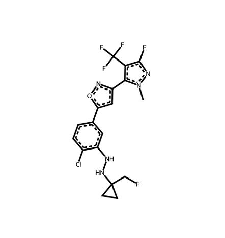 Cn1nc(F)c(C(F)(F)F)c1-c1cc(-c2ccc(Cl)c(NNC3(CF)CC3)c2)on1